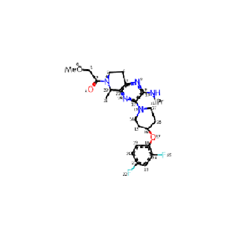 COCC(=O)N1CCc2nc(NC(C)C)c(N3CCC(Oc4ccc(F)cc4F)CC3)nc2C1C